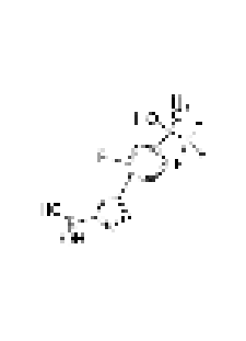 CC(O)(c1ccc(-c2csc(B(O)O)c2)c(F)c1)C(F)(F)F